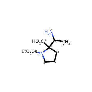 CCOC(=O)N1CCCC1(C(=O)O)C(C)N